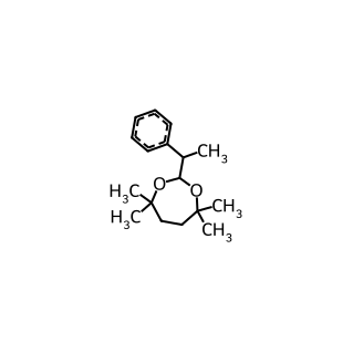 CC(c1ccccc1)C1OC(C)(C)CCC(C)(C)O1